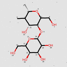 CC1[C@H](C)OC(CO)[C@@H](O[C@@H]2OC(CO)[C@H](O)[C@H](O)C2O)[C@@H]1O